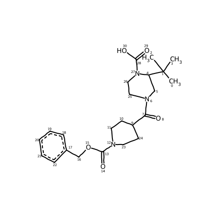 CC(C)(C)C1CN(C(=O)C2CCN(C(=O)OCc3ccccc3)CC2)CCN1C(=O)O